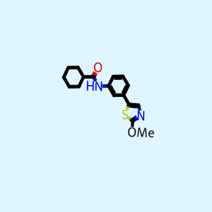 COc1ncc(-c2cccc(NC(=O)C3CCCCC3)c2)s1